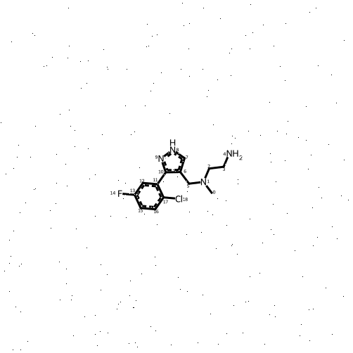 CN(CCN)Cc1c[nH]nc1-c1cc(F)ccc1Cl